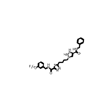 O=C(NCc1ccccc1)C1=CN(CCCCc2nnc(C(=O)NCc3cccc(OC(F)(F)F)c3)s2)NN1